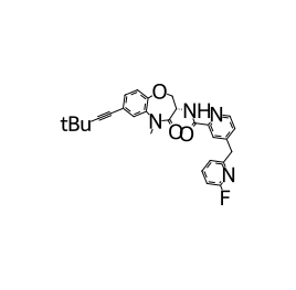 CN1C(=O)[C@@H](NC(=O)c2cc(Cc3cccc(F)n3)ccn2)COc2ccc(C#CC(C)(C)C)cc21